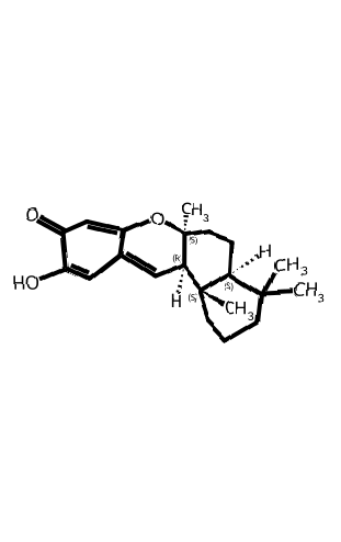 CC1(C)CCC[C@]2(C)[C@H]3C=C4C=C(O)C(=O)C=C4O[C@@]3(C)CC[C@@H]12